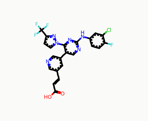 O=C(O)C=Cc1cncc(-c2cnc(Nc3ccc(F)c(Cl)c3)nc2-n2ccc(C(F)(F)F)n2)c1